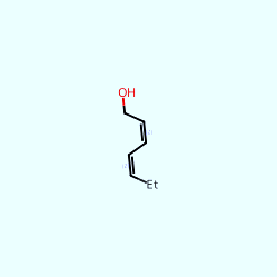 CC/C=C\C=C/CO